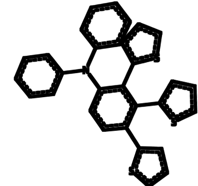 c1ccc(N(c2ccccc2)c2ccc(-c3cccs3)c(-c3cccs3)c2-c2cccs2)cc1